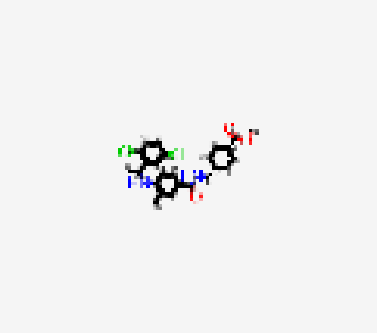 COC(=O)[C@H]1CC[C@H](CNC(=O)c2ccc(N[C@@H](C)c3cc(Cl)ccc3Cl)c(C)c2)CC1